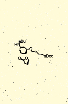 CCCCCCCCCCCCCCOc1cccc(NCCCC)c1.O=C1CC=CO1